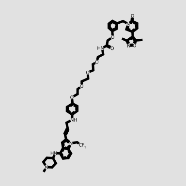 Cc1noc(C)c1-c1ccc(=O)n(Cc2cccc(OCC(=O)NCCOCCOCCOCCOc3ccc(NCC#Cc4cc5c(NC6CCN(C)CC6)cccc5n4CC(F)(F)F)cc3)c2)c1